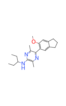 CCC(CC)Nc1nc(C)c(-c2cc3c(cc2OC)CCC3)nc1C